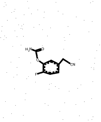 N#CCc1ccc(F)c(OC(N)=O)c1